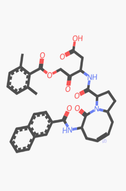 Cc1cccc(C)c1C(=O)OCC(=O)C(CC(=O)O)NC(=O)C1CCC2C/C=C\CC(NC(=O)c3ccc4ccccc4c3)C(=O)N21